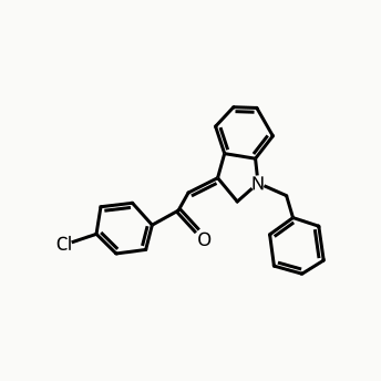 O=C(C=C1CN(Cc2ccccc2)c2ccccc21)c1ccc(Cl)cc1